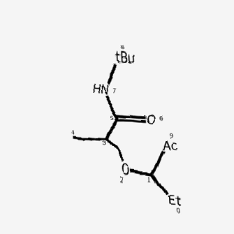 CCC(OC(C)C(=O)NC(C)(C)C)C(C)=O